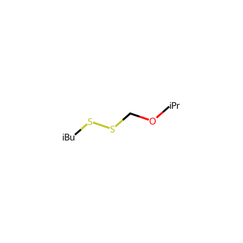 CCC(C)SSCOC(C)C